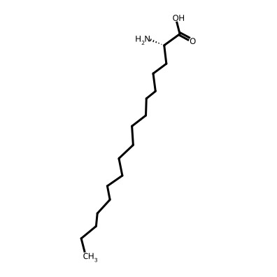 CCCCCCCCCCCCCCC[C@H](N)C(=O)O